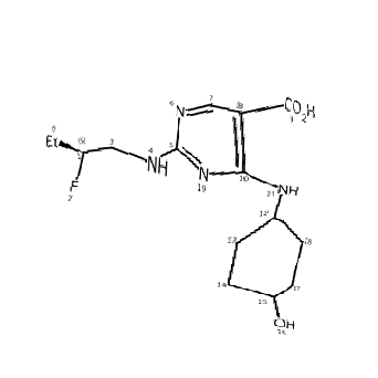 CC[C@H](F)CNc1ncc(C(=O)O)c(NC2CCC(O)CC2)n1